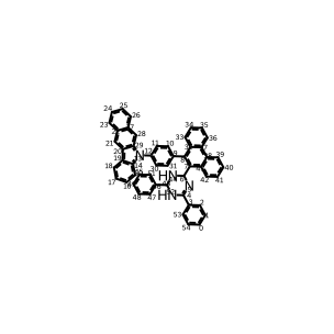 c1ccc(C2=NC(c3c(-c4ccc(-n5c6ccccc6c6cc7ccccc7cc65)cc4)c4ccccc4c4ccccc34)NC(c3ccccc3)N2)cc1